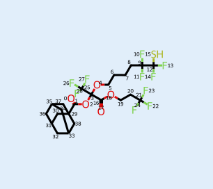 O=C(OC(OCCCCC(F)(F)C(F)(F)S)(C(=O)OCCC(F)(F)F)C(F)(F)F)C12CC3CC(CC(C3)C1)C2